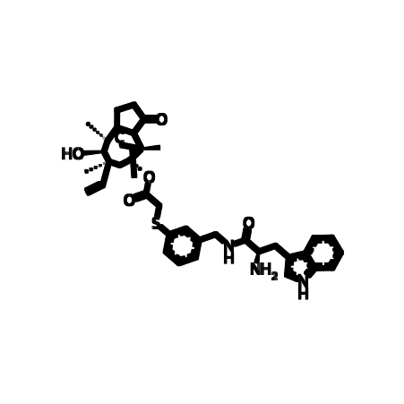 C=C[C@]1(C)C[C@@H](OC(=O)CSc2cccc(CNC(=O)[C@H](N)Cc3c[nH]c4ccccc34)c2)[C@]2(C)C(C)CCC3(CCC(=O)C32)[C@@H](C)[C@@H]1O